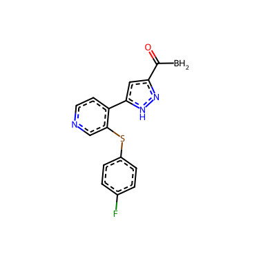 BC(=O)c1cc(-c2ccncc2Sc2ccc(F)cc2)[nH]n1